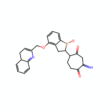 N=C1CC(=O)C(C2Cc3c(OCC4=CCC5C=CC=CC5=N4)cccc3[S+]2[O-])CCC1=O